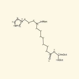 CCCCCCCCCN(CCCCCCCC(=O)OC(CCCCCCCC)CCCCCCCC)CCCn1ccnc1